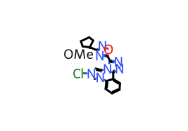 COC1(c2noc(-c3nnc4n3C3=CN(Cl)CN3c3ccccc3-4)n2)CCCC1